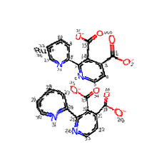 O=C([O-])c1ccnc(-c2ccccn2)c1C(=O)[O-].O=C([O-])c1ccnc(-c2ccccn2)c1C(=O)[O-].[Ru+4]